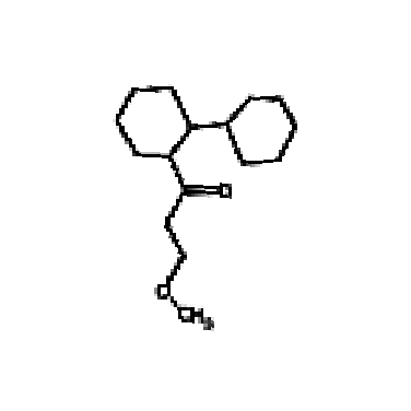 COCCC(=O)C1CCCCC1C1CCCCC1